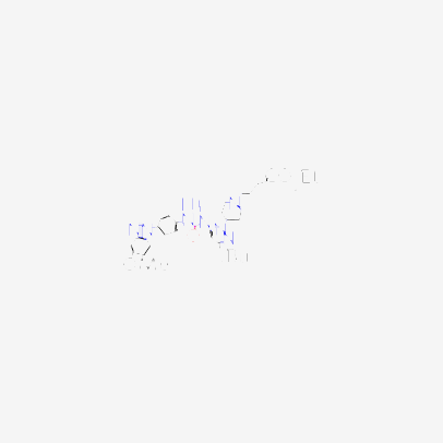 CCOC(=O)CCCCN1CCC(n2nc(C(C)(C)C)cc2NC(=O)Nc2ccc(-n3cnc4cc(OC)ccc43)cc2)CC1